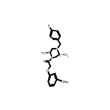 COc1cccc(OCC(=O)N2C[C@@H](C)N(Cc3ccc(F)cc3)C[C@@H]2C)c1